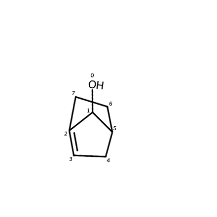 OC1C2=CCC1CC2